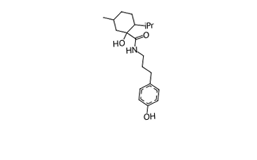 CC1CCC(C(C)C)C(O)(C(=O)NCCCc2ccc(O)cc2)C1